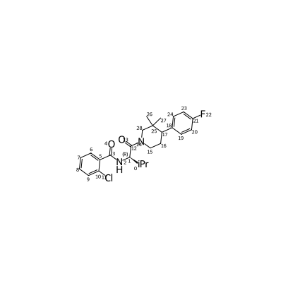 CC(C)[C@@H](NC(=O)c1ccccc1Cl)C(=O)N1CCC(c2ccc(F)cc2)C(C)(C)C1